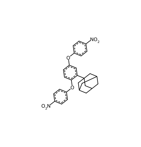 O=[N+]([O-])c1ccc(Oc2ccc(Oc3ccc([N+](=O)[O-])cc3)c(C34CC5CC(CC(C5)C3)C4)c2)cc1